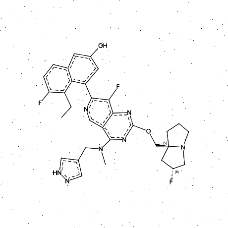 CCc1c(F)ccc2cc(O)cc(-c3ncc4c(N(C)Cc5cn[nH]c5)nc(OC[C@@]56CCCN5C[C@H](F)C6)nc4c3F)c12